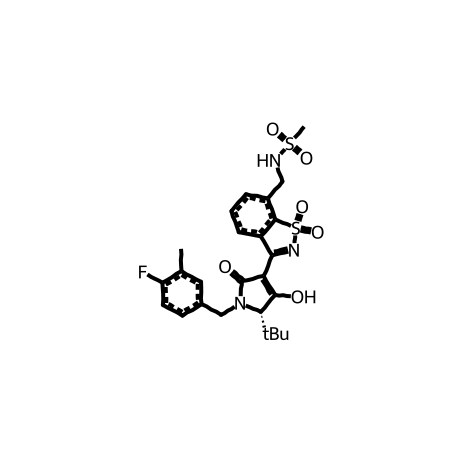 Cc1cc(CN2C(=O)C(C3=NS(=O)(=O)c4c(CNS(C)(=O)=O)cccc43)=C(O)[C@@H]2C(C)(C)C)ccc1F